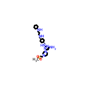 CS(=O)(=O)CCN1CCCN(c2cc(N)nc(NC[C@H]3CC[C@H](CNCCCNC4CCCCC4)CC3)n2)CC1